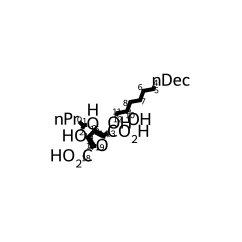 CCCC(O)O.CCCCCCCCCCCCCCC(O)CO.O=C(O)c1ccc(C(=O)O)o1